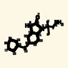 CC(C)(CN)n1c(=O)[nH]c2cc(Sc3ccccc3)ccc21